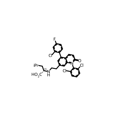 CC(C)C[C@H](NCCc1cc(-c2ccc(F)cc2Cl)c2ccc(=O)n(-c3c(Cl)cccc3Cl)c2c1)C(=O)O